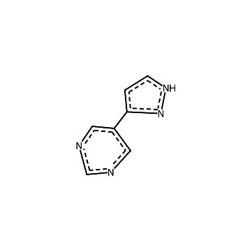 c1ncc(-c2cc[nH]n2)cn1